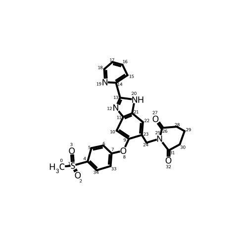 CS(=O)(=O)c1ccc(Oc2cc3nc(-c4ccccn4)[nH]c3cc2CN2C(=O)CCCC2=O)cc1